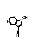 N#Cc1cn(O)c2ccncc12